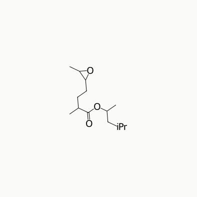 CC(C)CC(C)OC(=O)C(C)CCC1OC1C